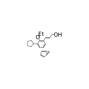 CCOc1c(C=CCO)cccc1C1CCCC1.c1cc2cc-2c1